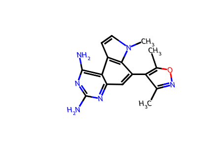 Cc1noc(C)c1-c1cc2nc(N)nc(N)c2c2ccn(C)c12